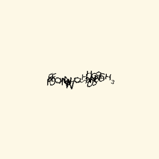 Cc1cccc(C)c1N1C(=O)CS/C1=N\C(=O)NCCCc1cccc(-c2ncn(-c3ccc(OC(F)(F)F)cc3)n2)c1